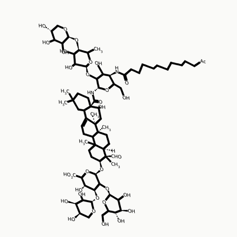 CC(=O)CCCCCCCCCCC(=O)N[C@H]1C(CO)O[C@H](NC(=O)[C@]23CCC(C)(C)CC2C2=CCC4C5(C)CC[C@H](O[C@@H]6OC(C(=O)O)[C@@H](O)[C@H](O[C@@H]7OC[C@@H](O)[C@@H](O)C7O)C6O[C@@H]6OC(CO)[C@@H](O)[C@H](O)C6O)[C@](C)(C=O)[C@@H]5CC[C@]4(C)[C@]2(C)CC3O)C(O[C@@H]2OC(C)[C@H](O[C@@H]3OC[C@@H](O)C(O)C3O)C(O)C2O)C1O